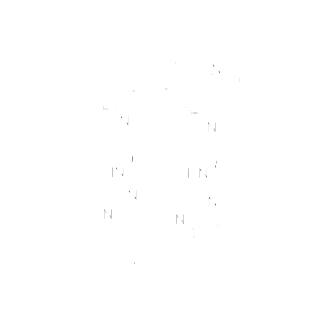 Cc1ccc(C(F)(F)F)c(C(=O)N2CC[C@@H](CNc3cnc4cc(Cl)ccc4n3)C2)c1.Cc1onc(-c2ccccc2)c1C(=O)N1CC[C@@H](CNc2cnc3cc(Cl)ccc3n2)C1